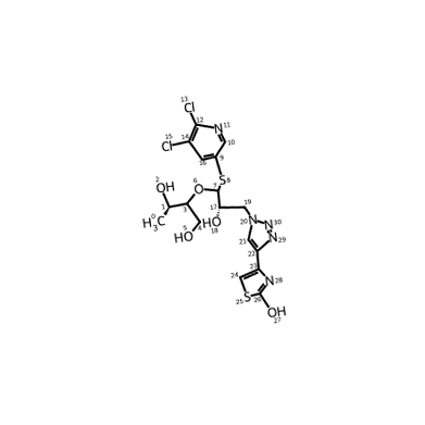 C[C@@H](O)C(CO)OC(Sc1cnc(Cl)c(Cl)c1)[C@@H](O)Cn1cc(-c2csc(O)n2)nn1